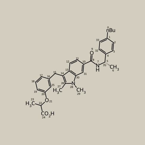 CCCCc1ccc([C@H](C)NC(=O)c2ccc3c(Cc4cccc(OC(C)C(=O)O)c4)c(C)n(C)c3c2)cc1